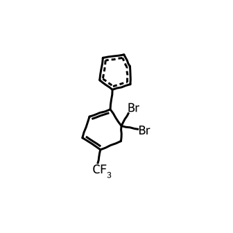 FC(F)(F)C1=CC=C(c2ccccc2)C(Br)(Br)C1